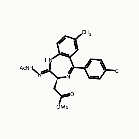 COC(=O)C[C@@H]1N=C(c2ccc(Cl)cc2)c2cc(C)ccc2N/C1=N\NC(C)=O